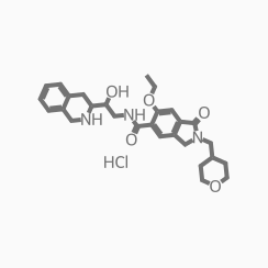 CCOc1cc2c(cc1C(=O)NCC(O)C1Cc3ccccc3CN1)CN(CC1CCOCC1)C2=O.Cl